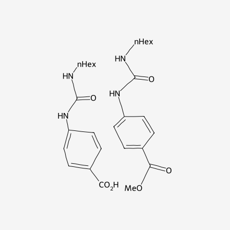 CCCCCCNC(=O)Nc1ccc(C(=O)O)cc1.CCCCCCNC(=O)Nc1ccc(C(=O)OC)cc1